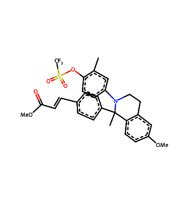 COC(=O)C=Cc1ccc(C2(C)c3ccc(OC)cc3CCN2c2ccc(OS(=O)(=O)C(F)(F)F)c(C)c2)cc1